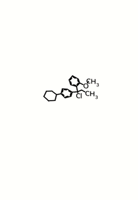 CCC(Cl)(c1ccc(C2CCCCC2)cc1)c1ccccc1OC